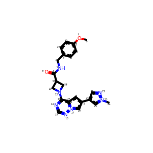 COc1ccc(CNC(=O)C2CN(c3ncnn4cc(-c5cnn(C)c5)cc34)C2)cc1